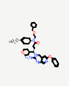 NC1=Nc2cnc(Oc3ccccc3)cc2CN1[C@@H](CCC(=O)N(CCOCc1ccccc1)[C@H]1CC[C@@H](C(=O)O)CC1)C1CCOCC1